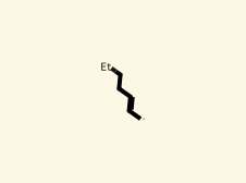 [CH2]C=CCCC[CH2]